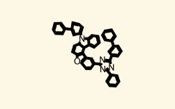 C1=CC2C(c3ccccc3N2c2cccc(-c3ccccc3)c2)c2c1oc1ccc(-c3nc(-c4ccccc4)nc(-c4cccc(-c5ccccc5)c4)n3)cc21